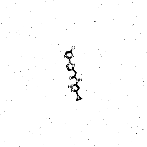 O=C(Cc1ccn(-c2ncc(Cl)s2)n1)Nc1cc(C2CC2)n[nH]1